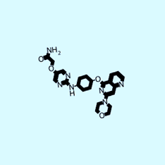 NC(=O)COc1cnc(N[C@H]2CC[C@@H](Oc3nc(N4CCOCC4)cc4ncccc34)CC2)nc1